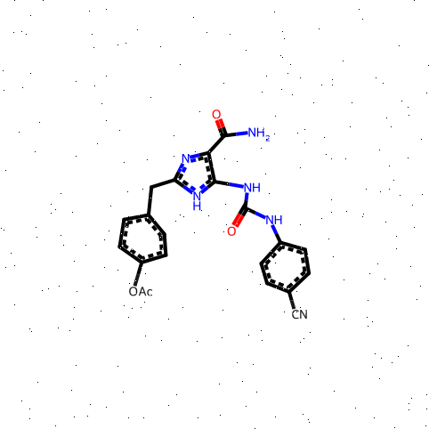 CC(=O)Oc1ccc(Cc2nc(C(N)=O)c(NC(=O)Nc3ccc(C#N)cc3)[nH]2)cc1